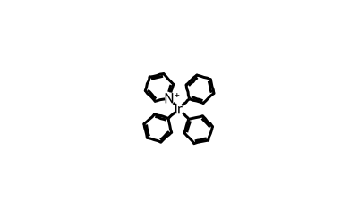 c1cc[c]([Ir]([c]2ccccc2)([c]2ccccc2)[n+]2ccccc2)cc1